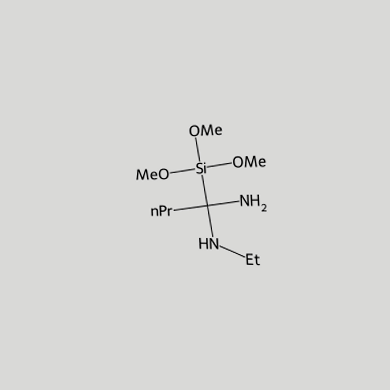 CCCC(N)(NCC)[Si](OC)(OC)OC